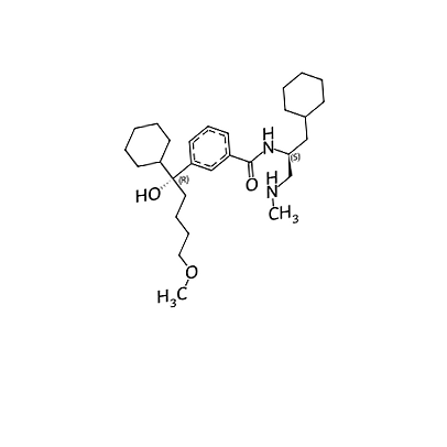 CNC[C@H](CC1CCCCC1)NC(=O)c1cccc([C@@](O)(CCCCOC)C2CCCCC2)c1